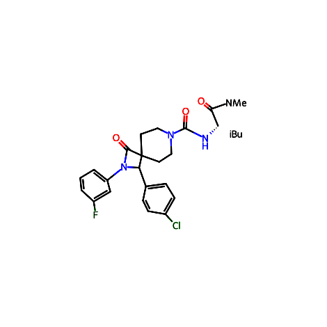 CC[C@H](C)[C@H](NC(=O)N1CCC2(CC1)C(=O)N(c1cccc(F)c1)C2c1ccc(Cl)cc1)C(=O)NC